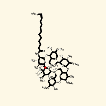 CCCCCC/C=C\CCCCCCCCCC(=O)NC1[C@H](O[C@@H]2C(CO)O[C@@H](O[C@@H]3C(CO)O[C@@H](O[C@@H]4C(CO)O[C@@H](O[C@@H]5C(CO[C@@H]6OC(C)[C@@](C)(O)C(O)[C@H]6OC)O[C@@H](O)C(NC(C)=O)[C@H]5O)[C@@H](NC(C)=O)C4O)C(NC(C)=O)[C@H]3O)C(NC(C)=O)[C@H]2O)OC(CO)[C@@H](O)[C@@H]1O